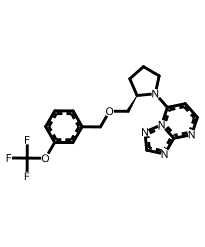 FC(F)(F)Oc1cccc(COC[C@H]2CCCN2c2ccnc3ncnn23)c1